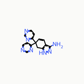 Nc1n[nH]c2c1C=CC(c1ccncn1)(c1ccncn1)C2